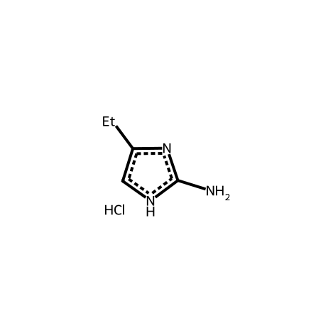 CCc1c[nH]c(N)n1.Cl